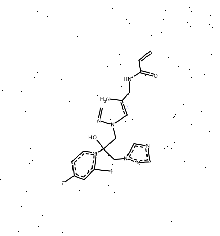 C=CC(=O)NC/C(N)=C/N(CC(O)(Cn1cncn1)c1ccc(F)cc1F)N=C